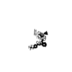 CC(C)(C)C(NC(=O)c1nn(CC(=O)c2ccc(OC(F)(F)F)cc2)c2ccccc12)C(=O)NC1CC1